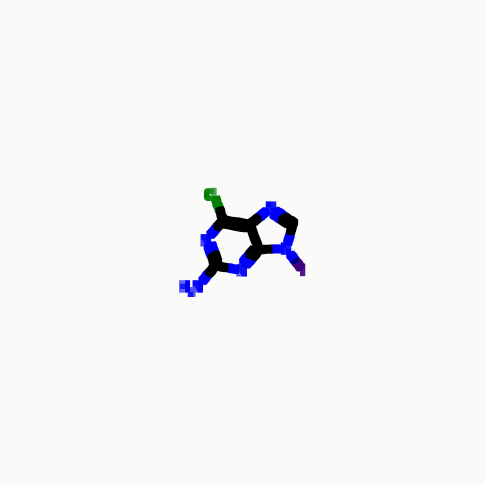 Nc1nc(Cl)c2ncn(I)c2n1